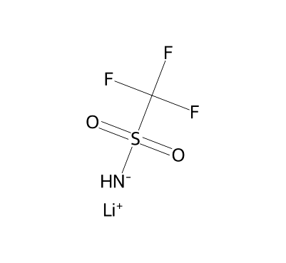 [Li+].[NH-]S(=O)(=O)C(F)(F)F